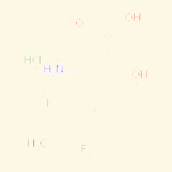 CC(F)(F)CC(N)C(O)C(=O)O.Cl